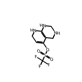 O=S(=O)(OC1=CCNC2=C1CNCN2)C(F)(F)F